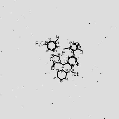 CCN(c1ncc(-c2c(C)noc2C)cc1CN1C(=O)O[C@H](c2cc(C)cc(C(F)(F)F)c2)[C@@H]1C)C1CCCCC1